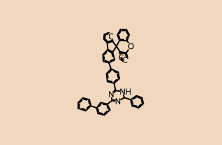 c1ccc(-c2cccc(C3=NC(c4ccccc4)NC(c4ccc(-c5ccc6c(c5)C5(c7ccccc7Oc7ccccc75)c5ccccc5-6)cc4)=N3)c2)cc1